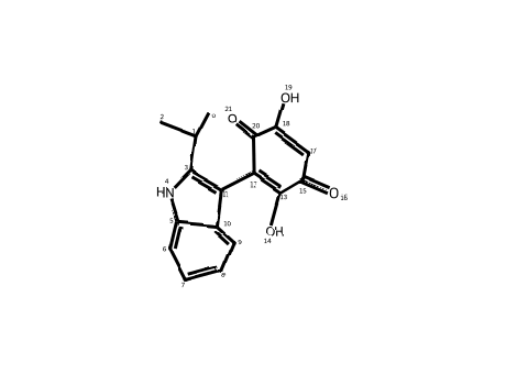 CC(C)c1[nH]c2ccccc2c1C1=C(O)C(=O)C=C(O)C1=O